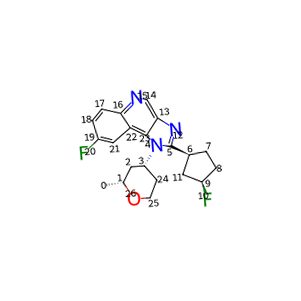 C[C@@H]1C[C@H](n2c([C@H]3CC[C@@H](F)C3)nc3cnc4ccc(F)cc4c32)CCO1